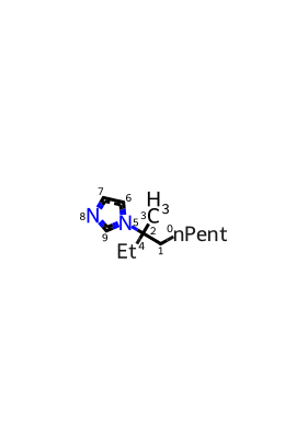 CCCCCCC(C)(CC)n1ccnc1